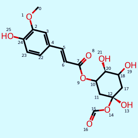 COc1cc(/C=C/C(=O)OC2C[C@@](O)(OC=O)CC(O)[C@@H]2O)ccc1O